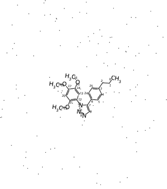 CCCc1ccc(-c2cnnn2-c2cc(OC)c(OC)cc2OC)cc1